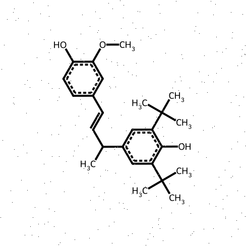 COc1cc(/C=C/C(C)c2cc(C(C)(C)C)c(O)c(C(C)(C)C)c2)ccc1O